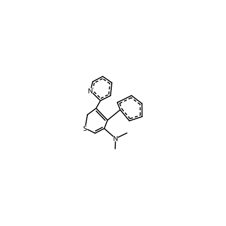 CN(C)C1=CSCC(c2ccccn2)=C1c1ccccc1